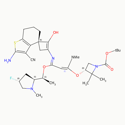 CN/C(=C\C(=NC1=C(O)[C@]2(CCCc3sc(N)c(C#N)c32)C1)O[C@@H](C)[C@@H]1C[C@@H](F)CN1C)O[C@@H]1CN(C(=O)OC(C)(C)C)C1(C)C